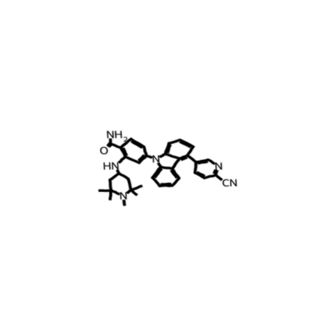 CN1C(C)(C)CC(Nc2cc(-n3c4ccccc4c4c(-c5ccc(C#N)nc5)cccc43)ccc2C(N)=O)CC1(C)C